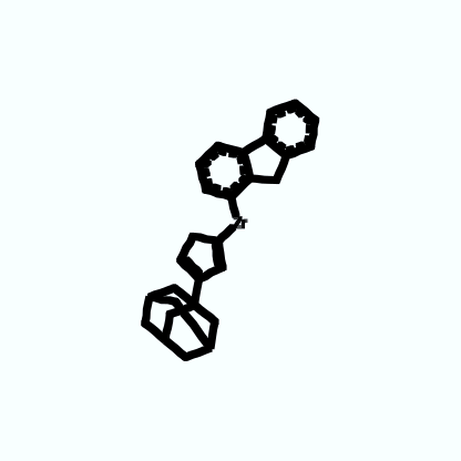 C1=[C]([Zr][c]2cccc3c2Cc2ccccc2-3)CC=C1C12CC3CC(CC(C3)C1)C2